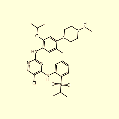 CNN1CCN(c2cc(OC(C)C)c(Nc3ncc(Cl)c(Nc4ccccc4S(=O)(=O)C(C)C)n3)cc2C)CC1